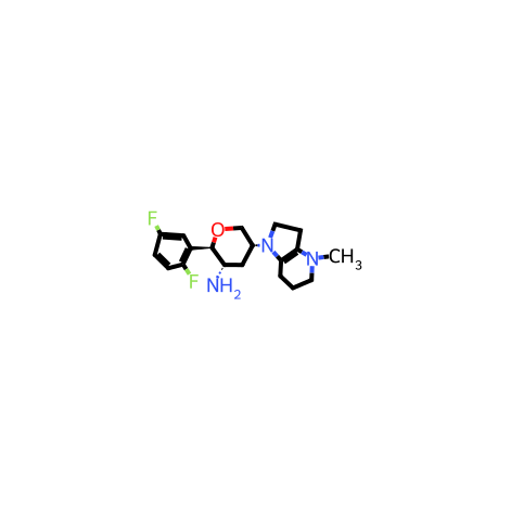 CN1CCCC2=C1CCN2[C@H]1CO[C@H](c2cc(F)ccc2F)[C@@H](N)C1